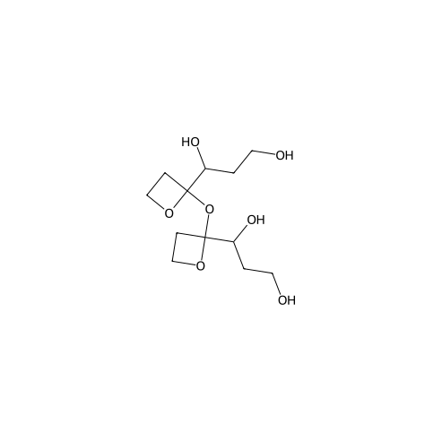 OCCC(O)C1(OC2(C(O)CCO)CCO2)CCO1